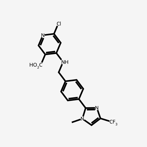 Cn1cc(C(F)(F)F)nc1-c1ccc(CNc2cc(Cl)ncc2C(=O)O)cc1